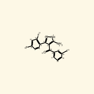 Nc1[nH]nc(-c2ccc(F)cc2F)c1C(=O)c1cccc(I)c1